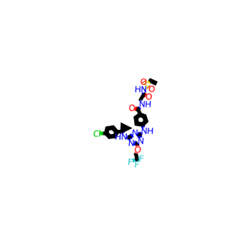 C=CS(=O)(=O)NC(=O)CNC(=O)c1ccc(Nc2nc(NC3(c4ccc(Cl)cc4)CC3)nc(OCC(F)(F)F)n2)cc1